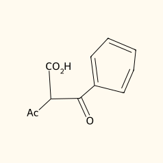 CC(=O)C(C(=O)O)C(=O)c1ccccc1